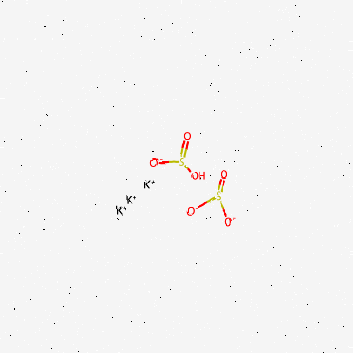 O=S([O-])O.O=S([O-])[O-].[K+].[K+].[K+]